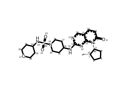 C[C@H]1CCC[C@H]1n1c(=O)ccc2cnc(NC3CCN(S(=O)(=O)NC4CCOCC4)CC3)nc21